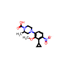 COc1c(N2CCN(C(=O)O)C(C)C2)ccc([N+](=O)[O-])c1C1CC1